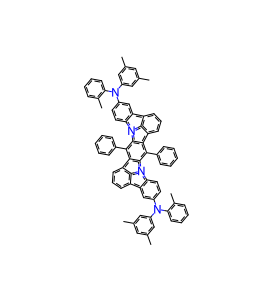 Cc1cc(C)cc(N(c2ccc3c(c2)c2cccc4c5c(-c6ccccc6)c6c(c(-c7ccccc7)c5n3c24)c2cccc3c4cc(N(c5cc(C)cc(C)c5)c5ccccc5C)ccc4n6c32)c2ccccc2C)c1